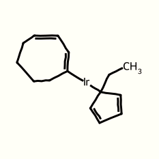 CC[C]1([Ir][C]2=CC=CCCCC2)C=CC=C1